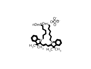 CCCCCCCCCCCCCCCCN1C(=CC=CC2=[N+](CCCCCCCCCCCCCCCC)c3ccccc3C2(C)C)C(C)(C)c2ccccc21.[O-][Cl+3]([O-])([O-])[O-]